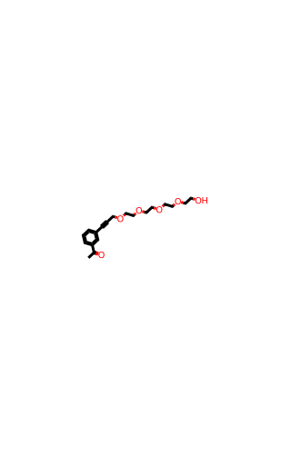 CC(=O)c1cccc(C#CCOCCOCCOCCOCCO)c1